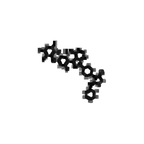 Nc1ncnc2c1c(-c1ccc(Oc3c(F)c(F)cc(F)c3F)cc1F)nn2C1CCC(N2C(=O)CSC2=Nc2ccccc2)CC1